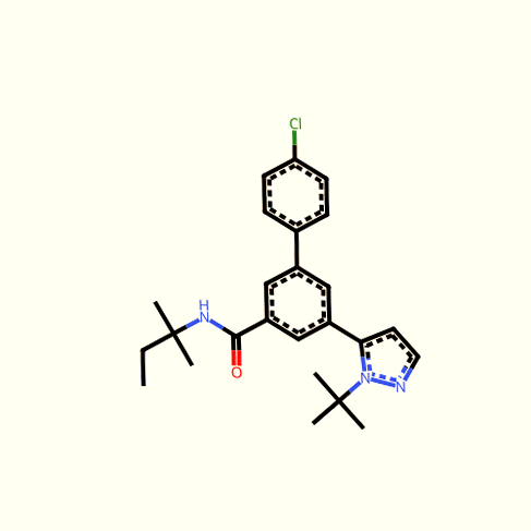 CCC(C)(C)NC(=O)c1cc(-c2ccc(Cl)cc2)cc(-c2ccnn2C(C)(C)C)c1